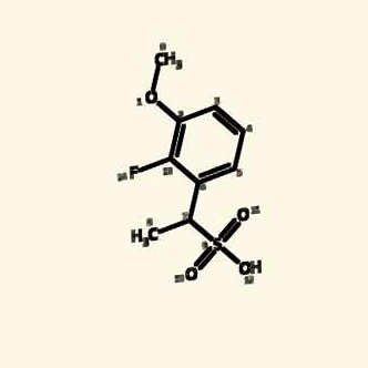 COc1cccc(C(C)S(=O)(=O)O)c1F